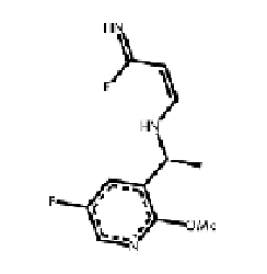 COc1ncc(F)cc1[C@H](C)N/C=C\C(=N)F